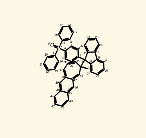 CC1(C2(c3ccc(P(=O)(c4ccccc4)c4ccccc4)cc3)c3ccccc3-c3ccccc32)C=CC=c2cc3ccccc3cc2=C1